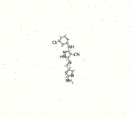 N#Cc1c(Nc2cccc(Cl)c2)n[nH]c1/N=C/c1cnc(N)s1